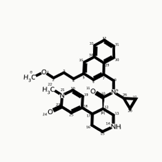 COCCCc1cc(CN(C(=O)[C@H]2CNCCC2c2ccn(C)c(=O)c2)C2CC2)c2ccccc2c1